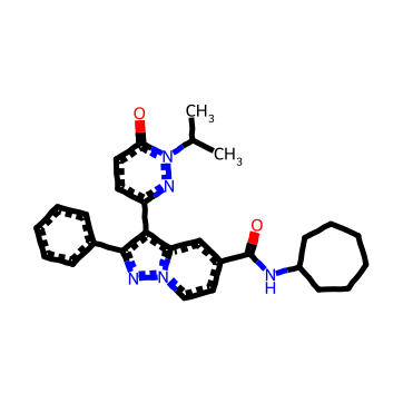 CC(C)n1nc(-c2c(-c3ccccc3)nn3ccc(C(=O)NC4CCCCCC4)cc23)ccc1=O